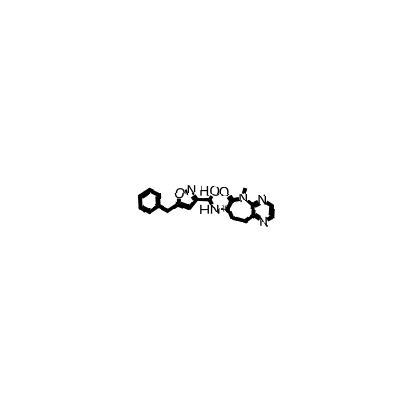 CN1C(=O)[C@@H](NC(O)c2cc(Cc3ccccc3)on2)CCc2nccnc21